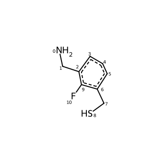 NCc1cccc(CS)c1F